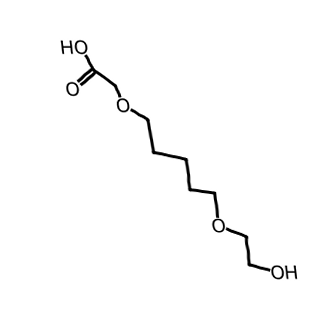 O=C(O)COCCCCCOCCO